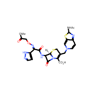 COC(=O)CO/N=C(/C(=O)NC1C(=O)N2C(C(=O)O)=C(CN3C=CC4=NC(NC(C)=O)SC4=C3)CS[C@H]12)c1ccn[nH]1